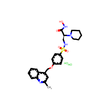 Cc1cc(COc2ccc(S(=O)(=O)NC[C@@H](C(=O)NO)N3CCCCC3)cc2)c2ccccc2n1.Cl.Cl